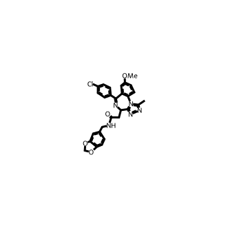 COc1ccc2c(c1)C(c1ccc(Cl)cc1)=NC(CC(=O)NCc1ccc3c(c1)OCO3)c1nnc(C)n1-2